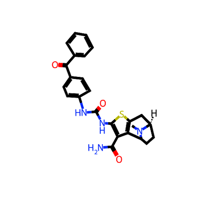 CN1C2CC[C@@H]1Cc1sc(NC(=O)Nc3ccc(C(=O)c4ccccc4)cc3)c(C(N)=O)c12